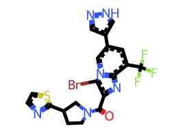 O=C(c1nc2c(C(F)(F)F)cc(-c3cn[nH]c3)cn2c1Br)N1CCC(c2nccs2)C1